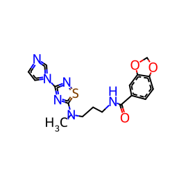 CN(CCCNC(=O)c1ccc2c(c1)OCO2)c1nc(-n2ccnc2)ns1